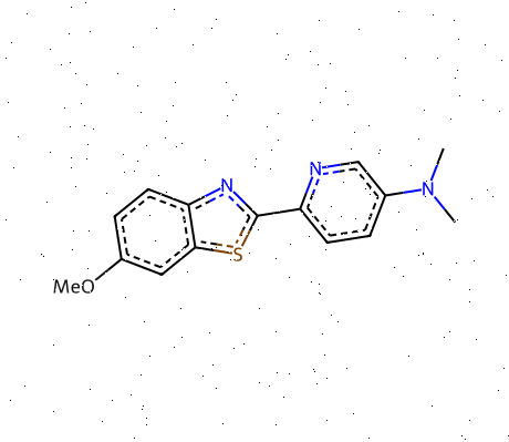 COc1ccc2nc(-c3ccc(N(C)C)cn3)sc2c1